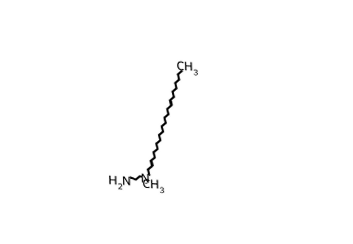 CCCCCCCCC=CCCCCCCCCCCCCC=CCCN(C)CCCN